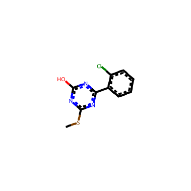 CSc1nc(O)nc(-c2ccccc2Cl)n1